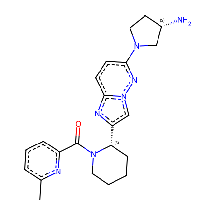 Cc1cccc(C(=O)N2CCCC[C@H]2c2cn3nc(N4CC[C@H](N)C4)ccc3n2)n1